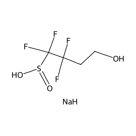 O=S(O)C(F)(F)C(F)(F)CCO.[NaH]